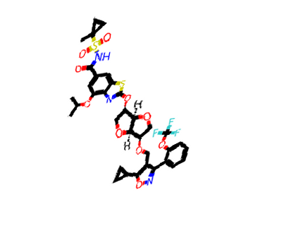 CC(C)Oc1cc(C(=O)NS(=O)(=O)C2(C)CC2)cc2sc(O[C@@H]3CO[C@H]4[C@@H]3OC[C@H]4OCc3c(-c4ccccc4OC(F)(F)F)noc3C3CC3)nc12